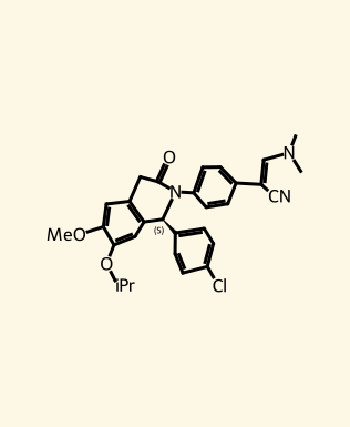 COc1cc2c(cc1OC(C)C)[C@H](c1ccc(Cl)cc1)N(c1ccc(C(C#N)=CN(C)C)cc1)C(=O)C2